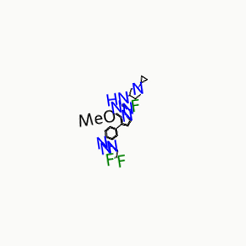 COc1nc(N[C@H]2CN(C3CC3)C[C@H]2F)nn2ccc(-c3ccc4nnn(CC(F)F)c4c3)c12